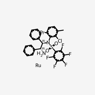 Cc1ccc(C(C)C)c(N([C@H](c2ccccc2)[C@H](N)c2ccccc2)S(=O)(=O)c2c(F)c(F)c(F)c(F)c2F)c1Cl.[Ru]